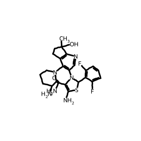 CC1(O)CCc2c1ncc(N1C(C(N)=O)=C(N)SC1c1c(F)cccc1F)c2N1CCCC(N)C1